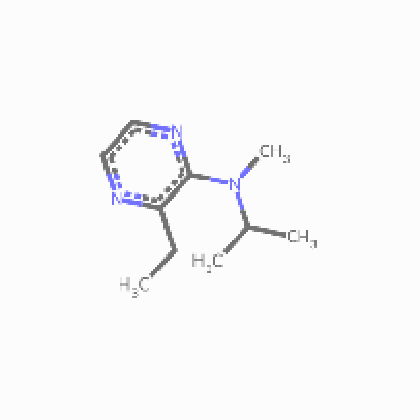 CCc1nccnc1N(C)C(C)C